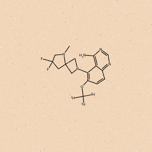 [2H]C([2H])([2H])Oc1ccc2ncnc(N)c2c1N1CC2(C1)CC(F)(F)CN2C